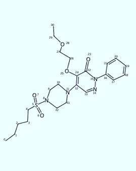 CCCCCS(=O)(=O)N1CCN(c2cnn(-c3ccccc3)c(=O)c2OCCOCC)CC1